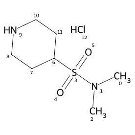 CN(C)S(=O)(=O)C1CCNCC1.Cl